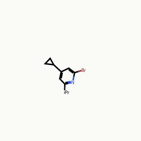 CC(C)c1cc(C2CC2)cc(Br)n1